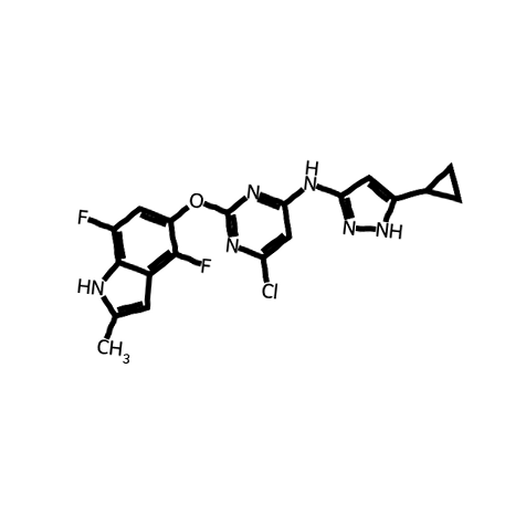 Cc1cc2c(F)c(Oc3nc(Cl)cc(Nc4cc(C5CC5)[nH]n4)n3)cc(F)c2[nH]1